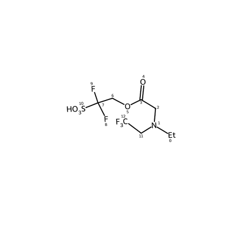 CCN(CC(=O)OCC(F)(F)S(=O)(=O)O)CC(F)(F)F